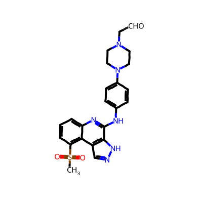 CS(=O)(=O)c1cccc2nc(Nc3ccc(N4CCN(CC=O)CC4)cc3)c3[nH]ncc3c12